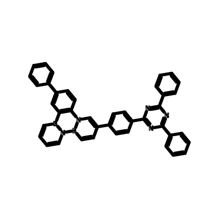 C1=CB2c3cc(-c4ccccc4)ccc3N3C=C(c4ccc(-c5nc(-c6ccccc6)nc(-c6ccccc6)n5)cc4)C=CB3N2C=C1